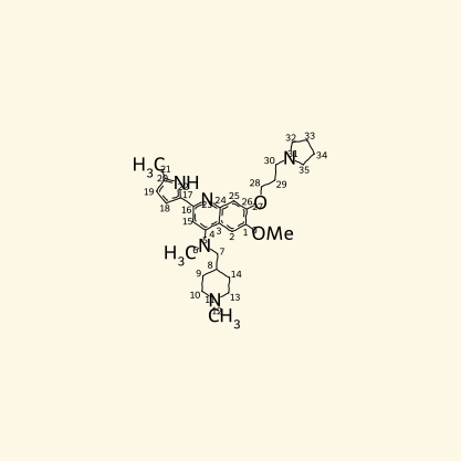 COc1cc2c(N(C)CC3CCN(C)CC3)cc(-c3ccc(C)[nH]3)nc2cc1OCCCN1CCCC1